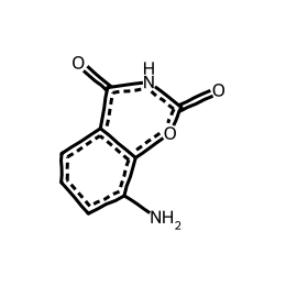 Nc1cccc2c(=O)[nH]c(=O)oc12